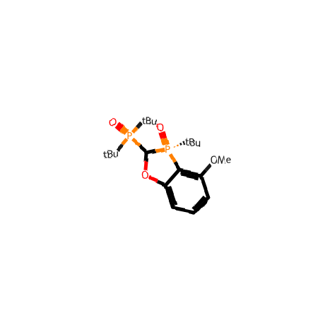 COc1cccc2c1[P@@](=O)(C(C)(C)C)C(P(=O)(C(C)(C)C)C(C)(C)C)O2